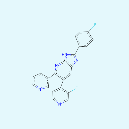 Fc1ccc(-c2nc3cc(-c4ccncc4F)c(-c4cccnc4)nc3[nH]2)cc1